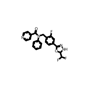 O=C(c1ccncc1)N(Cc1ccc(C2=NNC(C(F)F)O2)cc1F)c1ccccc1